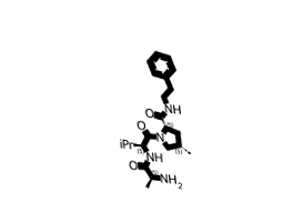 CC(C)[C@H](NC(=O)[C@H](C)N)C(=O)N1C[C@@H](C)C[C@H]1C(=O)NCCc1ccccc1